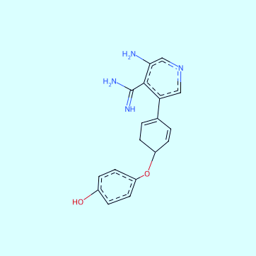 N=C(N)c1c(N)cncc1C1=CCC(Oc2ccc(O)cc2)C=C1